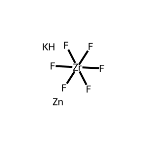 [F][Zr]([F])([F])([F])([F])[F].[KH].[Zn]